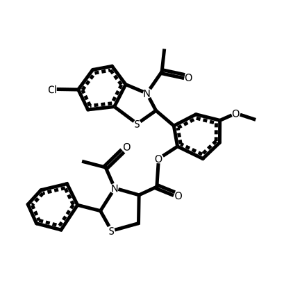 COc1ccc(OC(=O)C2CSC(c3ccccc3)N2C(C)=O)c(C2Sc3cc(Cl)ccc3N2C(C)=O)c1